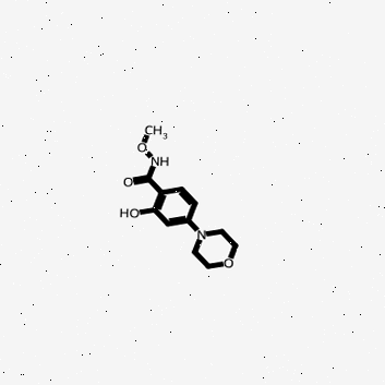 CONC(=O)c1ccc(N2CCOCC2)cc1O